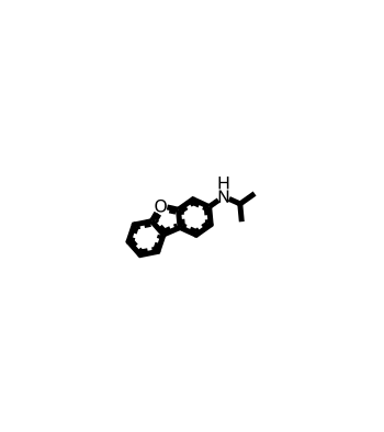 CC(C)Nc1ccc2c(c1)oc1ccccc12